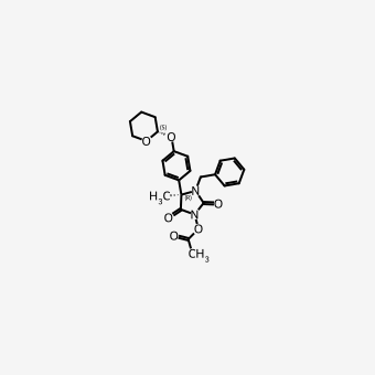 CC(=O)ON1C(=O)N(Cc2ccccc2)[C@](C)(c2ccc(O[C@H]3CCCCO3)cc2)C1=O